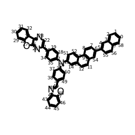 c1ccc2cc(-c3ccc4c(ccc5cc(N(c6ccc(-c7cnc8c(n7)oc7ccccc78)cc6)c6ccc(-c7nc8ccccc8o7)cc6)ccc54)c3)ccc2c1